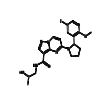 COc1ncc(F)cc1C1CCCN1c1ccn2ncc(C(=O)NCC(C)O)c2n1